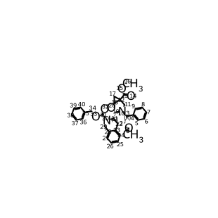 COC[C@@H](c1ccccc1)N(CC1(C(=O)OC)CC1)C(=O)[C@@H]1Cc2ccccc2CN1C(=O)OCc1ccccc1